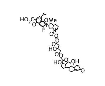 COc1c(N2CC3CCCN(C(=O)OCOC(=O)CC(O)CC(=O)OCC(=O)[C@@]4(O)CCC5C6CCC7=CC(=O)C=C[C@]7(C)C6[C@@H](O)C[C@@]54C)C3C2)c(F)cc2c(=O)c(C(=O)O)cn(C3CC3)c12